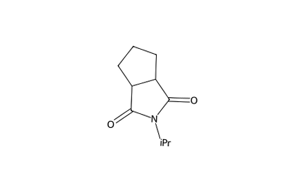 CC(C)N1C(=O)C2CCCC2C1=O